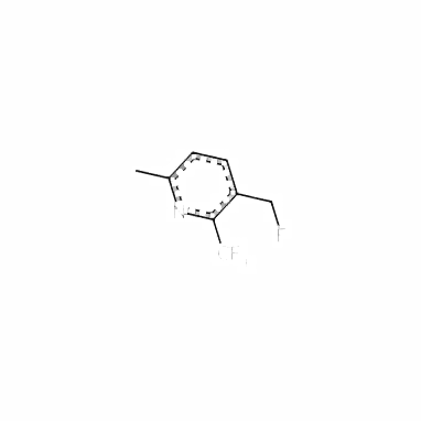 Cc1ccc(CF)c(C(F)(F)F)n1